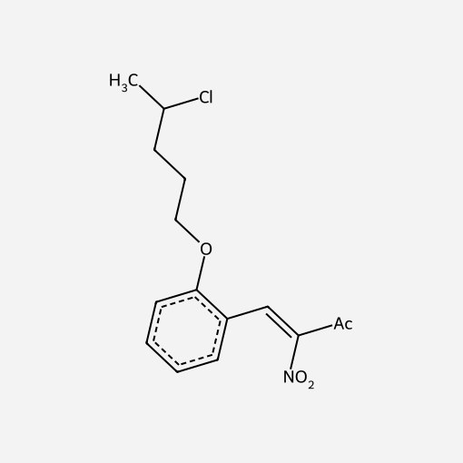 CC(=O)C(=Cc1ccccc1OCCCC(C)Cl)[N+](=O)[O-]